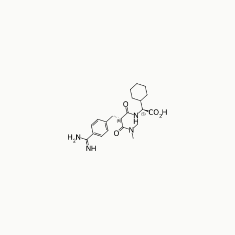 CN(C)C(=O)[C@H](Cc1ccc(C(=N)N)cc1)C(=O)N[C@H](C(=O)O)C1CCCCC1